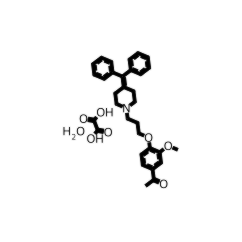 COc1cc(C(C)=O)ccc1OCCCN1CCC(=C(c2ccccc2)c2ccccc2)CC1.O.O=C(O)C(=O)O